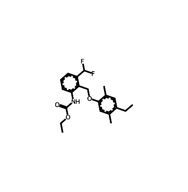 CCOC(=O)Nc1cccc(C(F)F)c1COc1cc(C)c(CC)cc1C